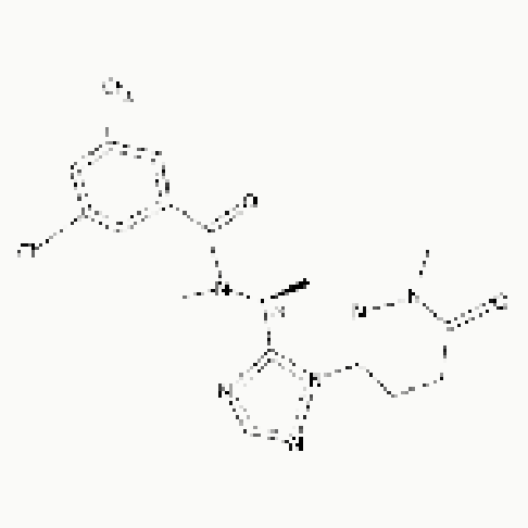 C[C@@H](c1ncnn1C1=NN(C)C(=O)CC1)N(C)C(=O)c1cc(Cl)cc(C(F)(F)F)c1